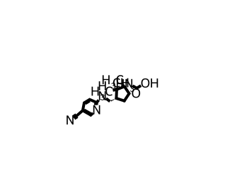 CC1(C)[C@@H](CNc2ccc(C#N)cn2)CC[C@@]1(C)NC(=O)O